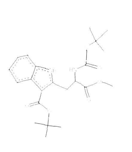 COC(=O)C(Cc1[nH]c2ccccc2c1C(=O)OC(C)(C)C)NC(=O)OC(C)(C)C